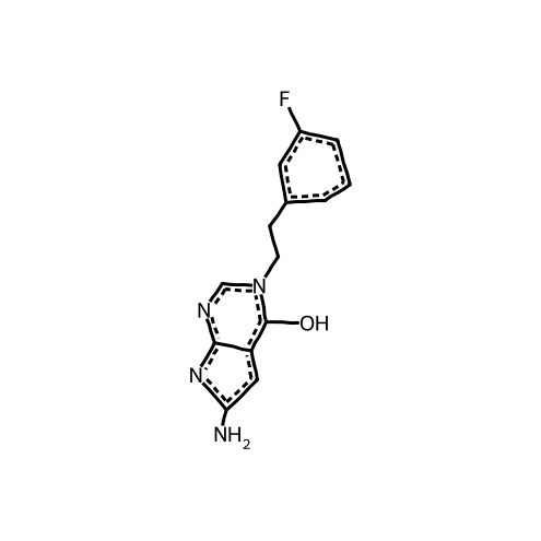 Nc1cc2c(O)n(CCc3cccc(F)c3)cnc-2n1